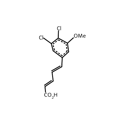 COc1cc(C=CC=CC(=O)O)cc(Cl)c1Cl